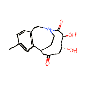 Cc1ccc2c(c1)C1CCN(C2)C(=O)[C@@H](O)[C@H](O)CC1=O